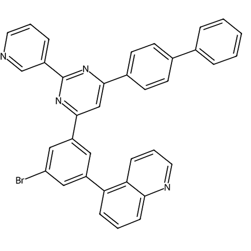 Brc1cc(-c2cc(-c3ccc(-c4ccccc4)cc3)nc(-c3cccnc3)n2)cc(-c2cccc3ncccc23)c1